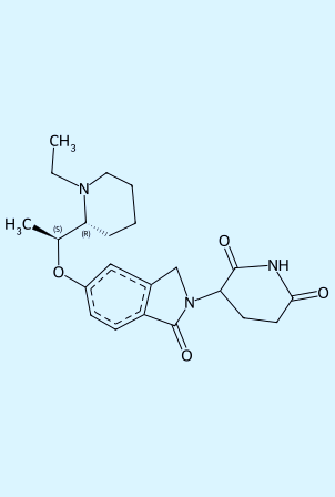 CCN1CCCC[C@@H]1[C@H](C)Oc1ccc2c(c1)CN(C1CCC(=O)NC1=O)C2=O